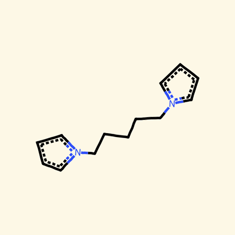 c1ccn(CCCCCn2cccc2)c1